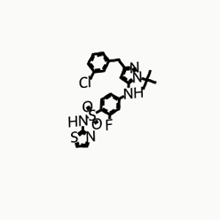 CC(C)(C)n1nc(Cc2cccc(Cl)c2)cc1Nc1ccc(S(=O)(=O)Nc2nccs2)c(F)c1